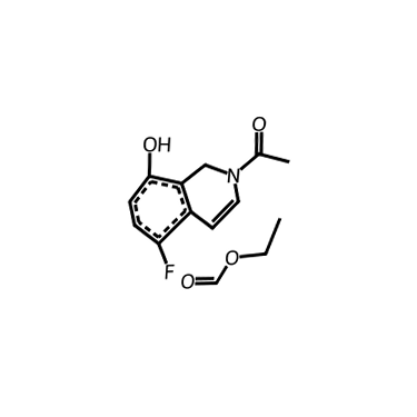 CC(=O)N1C=Cc2c(F)ccc(O)c2C1.CCOC=O